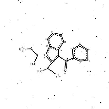 CCC(O)n1c(C(C)C)c(C(=O)c2ccccc2)c2ccccc21